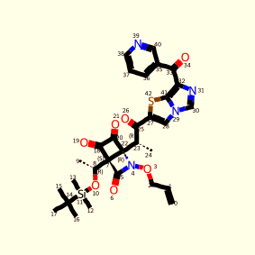 C=CCON1C(=O)[C@@]2([C@@H](C)O[Si](C)(C)C(C)(C)C)C(=O)C(=O)[C@]12[C@@H](C)C(=O)c1cn2cnc(C(=O)c3cccnc3)c2s1